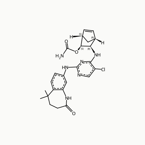 CC1(C)CCC(=O)Nc2cc(Nc3ncc(Cl)c(N[C@H]4[C@@H](OC(N)=O)[C@@H]5C=C[C@H]4C5)n3)ccc21